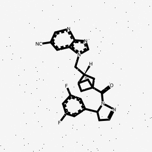 N#Cc1cnc2ncn(C[C@@H]3CC4(C(=O)N5N=CCC5c5cc(F)cc(F)c5)CC3C4)c2c1